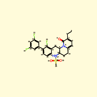 CCc1ccc2n(c1=O)C(Cc1cccc(-c3cc(F)cc(F)c3)c1F)C(NS(C)(=O)=O)CC2